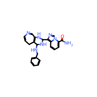 NC(=O)c1cccc2c(C3NC4=C(CC=CN=C4)C(NCc4ccccc4)N3)ncn12